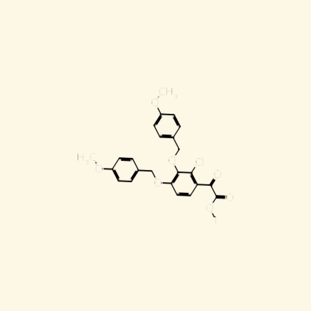 COc1ccc(COc2ccc(C(=O)C(=O)OI)c(Cl)c2OCc2ccc(OC)cc2)cc1